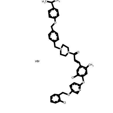 Br.Cc1cc(Oc2ccc(OCc3ccccc3Cl)cn2)c(Cl)cc1C=CC(=O)N1CCN(Cc2ccc(COc3ccc(C(C)C)cc3)cc2)CC1